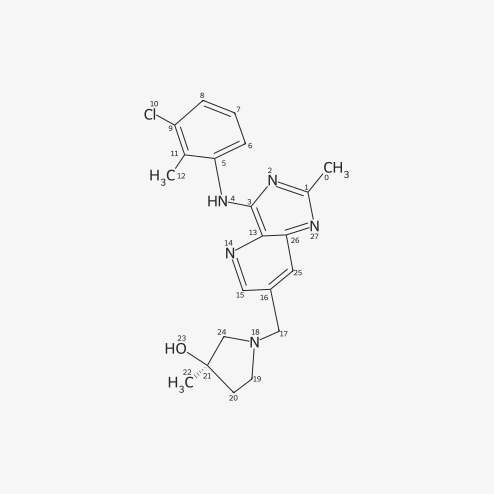 Cc1nc(Nc2cccc(Cl)c2C)c2ncc(CN3CC[C@@](C)(O)C3)cc2n1